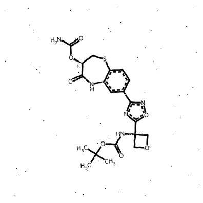 CC(C)(C)OC(=O)NC1(c2nc(-c3ccc4c(c3)NC(=O)[C@@H](OC(N)=O)CS4)no2)COC1